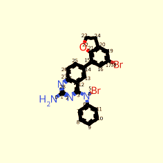 Nc1nc(N(Br)c2ccccc2)c2cc(-c3cc(Br)cc4c3OCC4)ccc2n1